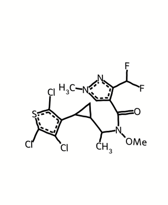 CON(C(=O)c1cn(C)nc1C(F)F)C(C)C1CC1c1c(Cl)sc(Cl)c1Cl